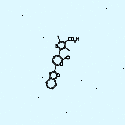 Cc1sc(-c2ccc(-c3cc4ccccc4o3)oc2=O)c(C)c1C(=O)O